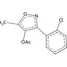 CC(=O)Oc1c(-c2ccccc2Cl)noc1C